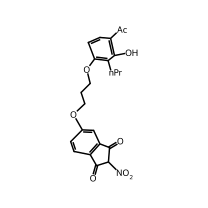 CCCc1c(OCCCOc2ccc3c(c2)C(=O)C([N+](=O)[O-])C3=O)ccc(C(C)=O)c1O